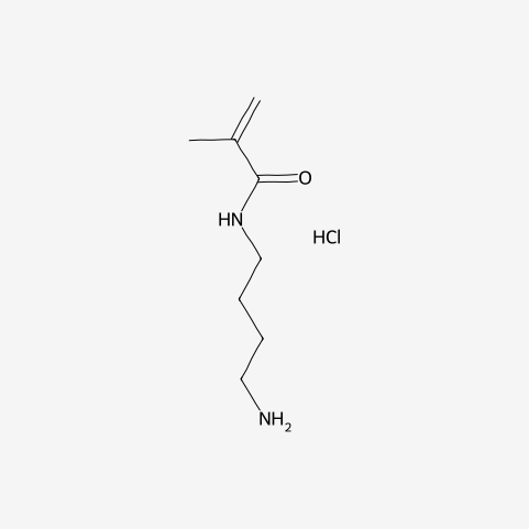 C=C(C)C(=O)NCCCCN.Cl